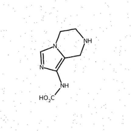 O=C(O)Nc1ncn2c1CNCC2